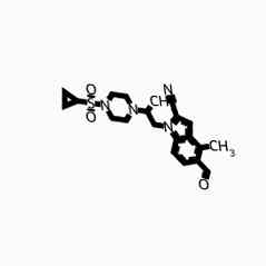 Cc1c(C=O)ccc2c1cc(C#N)n2CC(C)N1CCN(S(=O)(=O)C2CC2)CC1